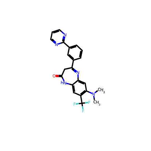 CN(C)c1cc2c(cc1C(F)(F)F)NC(=O)CC(c1cccc(-c3ncccn3)c1)=N2